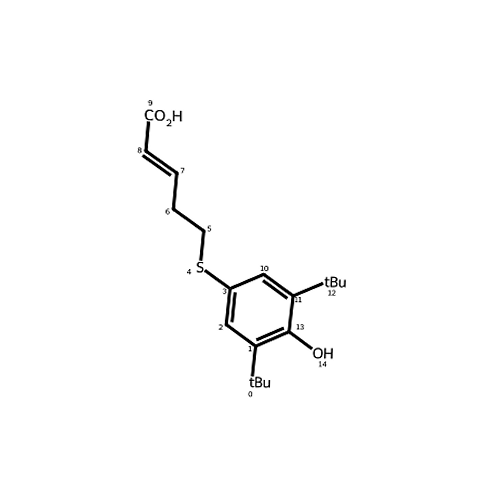 CC(C)(C)c1cc(SCCC=CC(=O)O)cc(C(C)(C)C)c1O